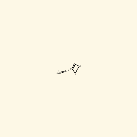 [C]1=CCC1.[O]=[Sn]